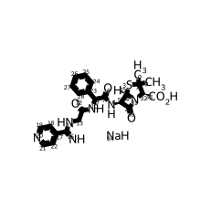 CC1(C)S[C@@H]2[C@H](NC(=O)C(NC(=O)CNC(=N)c3ccncc3)c3ccccc3)C(=O)N2[C@H]1C(=O)O.[NaH]